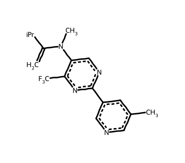 C=C(C(C)C)N(C)c1cnc(-c2cncc(C)c2)nc1C(F)(F)F